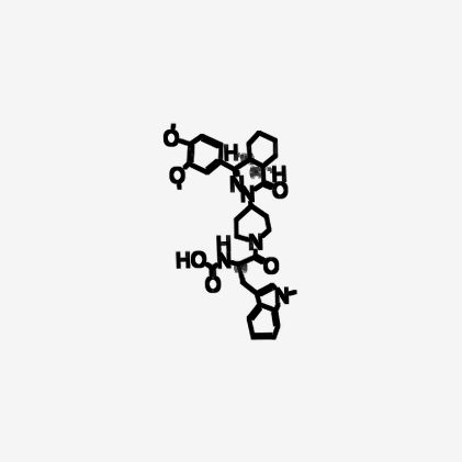 COc1ccc(C2=NN(C3CCN(C(=O)[C@@H](Cc4cn(C)c5ccccc45)NC(=O)O)CC3)C(=O)[C@@H]3CCCC[C@H]23)cc1OC